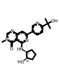 Cn1cnc2cc(-c3ccc(C(C)(C)O)nc3)nc(N[C@H]3CCC[C@H]3O)c2c1=O